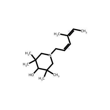 C/C=C(C)\C=C/CN1CC(C)(C)C(O)C(C)(C)C1